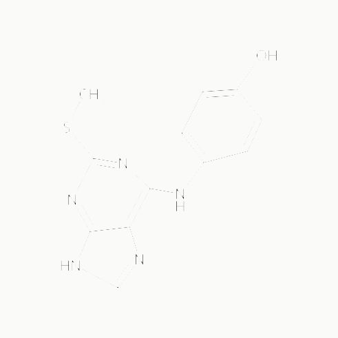 CSc1nc(Nc2ccc(O)cc2)c2nc[nH]c2n1